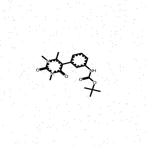 Cc1c(-c2[c]c(NC(=O)OC(C)(C)C)ccc2)c(=O)n(C)c(=O)n1C